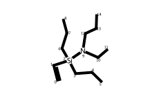 C=C[Si](CCC)(CCC)N(CC)CCC